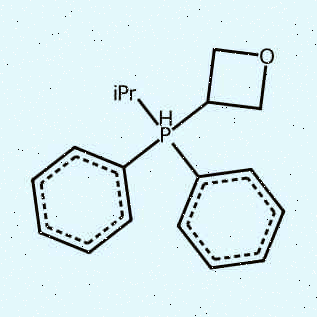 CC(C)[PH](c1ccccc1)(c1ccccc1)C1COC1